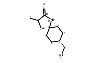 CC1C[C@]2(CC[C@@H](CO)CC2)NC1=O